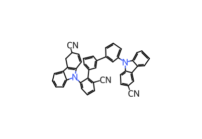 N#Cc1ccc2c(c1)c1ccccc1n2-c1cccc(-c2cccc(-c3c(C#N)cccc3-n3c4c(c5ccccc53)CC(C#N)C=C4)c2)c1